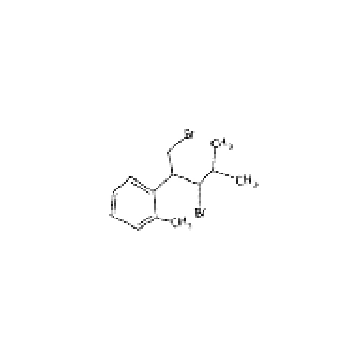 Cc1ccccc1C(CBr)C(Br)C(C)C